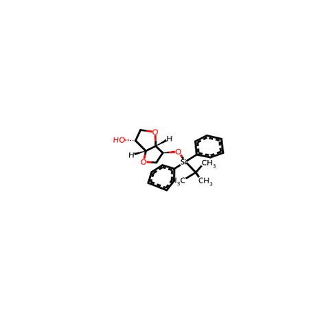 CC(C)(C)[Si](O[C@H]1CO[C@H]2[C@@H]1OC[C@H]2O)(c1ccccc1)c1ccccc1